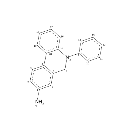 Nc1ccc2c(c1)CN(c1ccccc1)c1ccccc1-2